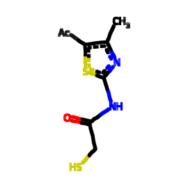 CC(=O)c1sc(NC(=O)CS)nc1C